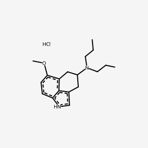 CCCN(CCC)C1Cc2c[nH]c3ccc(OC)c(c23)C1.Cl